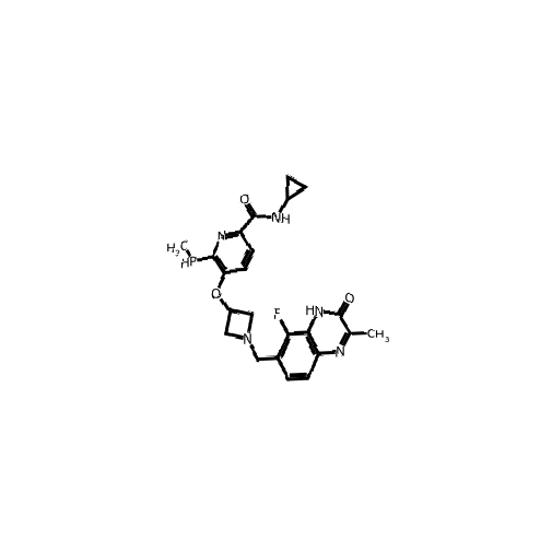 CPc1nc(C(=O)NC2CC2)ccc1OC1CN(Cc2ccc3nc(C)c(=O)[nH]c3c2F)C1